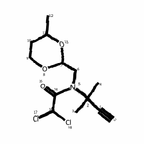 C#CC(C)(C)N(CC1OCCC(C)O1)C(=O)C(Cl)Cl